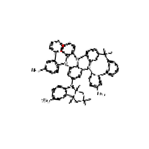 CC1(C)CC2(C)c3cc(C(C)(C)C)ccc3N(c3cc4c5c(c3)N3c6cc(ccc6B5c5ccccc5N4c4ccc(C(C)(C)C)cc4-c4ccccc4)C(C)(C)c4cccc(c4)-c4cc(C(C)(C)C)ccc43)C2(C)C1